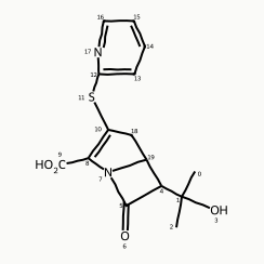 CC(C)(O)C1C(=O)N2C(C(=O)O)=C(Sc3ccccn3)CC12